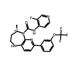 C[C@@H]1CCNc2ccc(-c3cccc(OC(F)(F)F)c3)nc2N1C(=O)Nc1ccncc1F